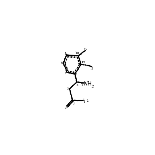 C=C(I)CC(N)c1cccc(C)c1C